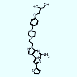 Nc1nc2c(cnn2CCN2CCN(c3ccc(OCC(O)CO)cc3)CC2)c2cc(-c3ccco3)nn12